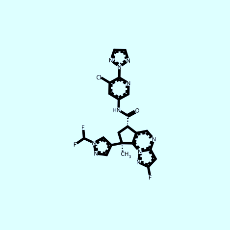 C[C@]1(c2cnn(C(F)F)c2)C[C@H](C(=O)Nc2cnc(-n3nccn3)c(Cl)c2)c2cnc3cc(F)nn3c21